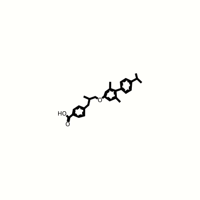 Cc1cc(OCC(C)Cc2ccc(C(=O)O)cc2)cc(C)c1-c1ccc(C(C)C)cc1